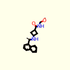 COCNC(=O)C1CC(N[C@H](C)c2cccc3ccccc23)C1